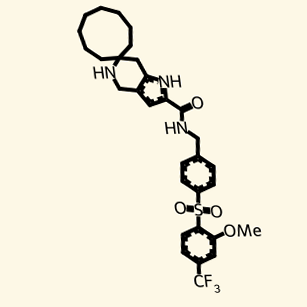 COc1cc(C(F)(F)F)ccc1S(=O)(=O)c1ccc(CNC(=O)c2cc3c([nH]2)CC2(CCCCCCCC2)NC3)cc1